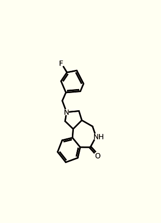 O=C1NCC2CN(Cc3cccc(F)c3)CC2c2ccccc21